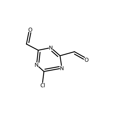 O=Cc1nc(Cl)nc(C=O)n1